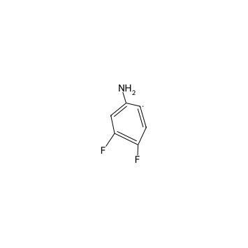 Nc1[c]cc(F)c(F)c1